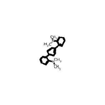 CN(C)c1ccccc1-c1ccc(-c2ccccc2N(C)C)cc1